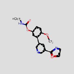 CCCCCCCCNC(=O)Oc1ccc(OC(F)(F)F)c(-c2cncc(-c3ncco3)c2)c1